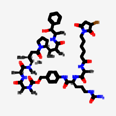 CC[C@H](C)[C@@H]([C@@H](CC(=O)N1CCC[C@H]1C(OC)C(C)C(=O)NC(C)C(O)c1ccccc1)OC)N(C)C(=O)[C@@H](NC(=O)C(C(C)C)N(C)C(=O)OCc1ccc(NC(=O)[C@H](CCCNC(N)=O)NC(=O)C(NC(=O)CCCCCN2C(=O)CC(S)C2=O)C(C)C)cc1)C(C)C